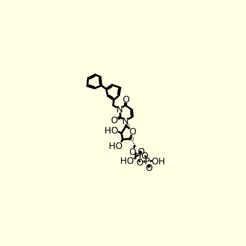 O=c1ccn([C@@H]2O[C@H](COP(=O)(O)OP(=O)(O)O)C(O)C2O)c(=O)n1Cc1cccc(-c2ccccc2)c1